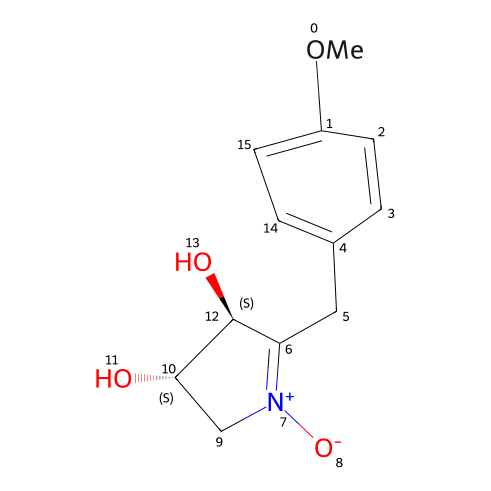 COc1ccc(CC2=[N+]([O-])C[C@H](O)[C@H]2O)cc1